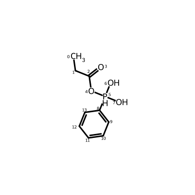 CCC(=O)O[PH](O)(O)c1ccccc1